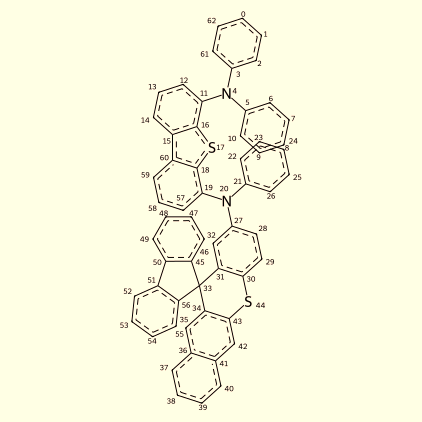 c1ccc(N(c2ccccc2)c2cccc3c2sc2c(N(c4ccccc4)c4ccc5c(c4)C4(c6cc7ccccc7cc6S5)c5ccccc5-c5ccccc54)cccc23)cc1